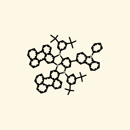 CC(C)(C)c1cc(N2c3cc(-c4ccc5c(c4)c4ccccc4n5-c4ccccc4)cc4c3B(c3cc5c6cccc7cccc(c8cccc(c32)c85)c76)c2cc3c5cccc6cccc(c7cccc(c2N4c2cc(C(C)(C)C)cc(C(C)(C)C)c2)c73)c65)cc(C(C)(C)C)c1